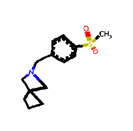 CS(=O)(=O)c1ccc(CN2CC3(C[CH]C3)C2)cc1